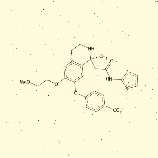 COCCOc1cc2c(cc1Oc1ccc(C(=O)O)cc1)C(C)(CC(=O)Nc1nccs1)NCC2